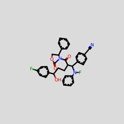 N#Cc1ccc(C(C(CCC(O)c2ccc(F)cc2)C(=O)N2C(=O)OCC2c2ccccc2)N(F)c2ccccc2)cc1